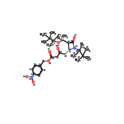 C[C@@H](O[Si](C)(C)C(C)(C)C)[C@H]1C(=O)N([Si](C)(C)C(C)(C)C)[C@@H]1CC(=O)CC(=O)OCc1ccc([N+](=O)[O-])cc1